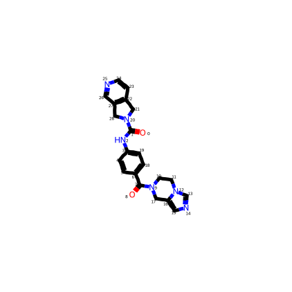 O=C(Nc1ccc(C(=O)N2CCn3cncc3C2)cc1)N1Cc2ccncc2C1